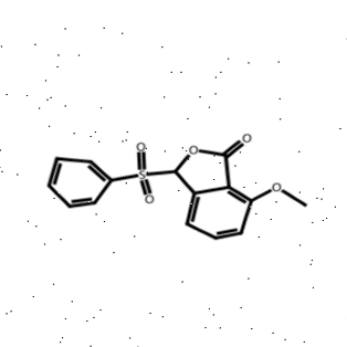 COc1cccc2c1C(=O)OC2S(=O)(=O)c1ccccc1